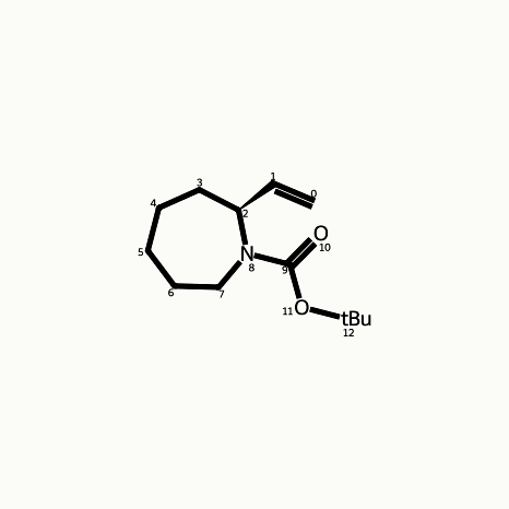 C=C[C@@H]1CCCCCN1C(=O)OC(C)(C)C